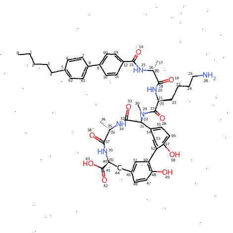 CCCCCc1ccc(-c2ccc(C(=O)N[C@H](C)C(=O)N[C@@H](CCCCN)C(=O)N(C)[C@@H]3C(=O)N[C@@H](C)C(=O)N[C@H](C(=O)O)Cc4ccc(O)c(c4)-c4cc3ccc4O)cc2)cc1